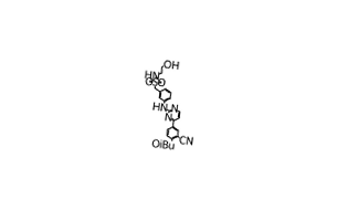 CC(C)COc1ccc(-c2ccnc(Nc3cccc(CS(=O)(=O)NCCO)c3)n2)cc1C#N